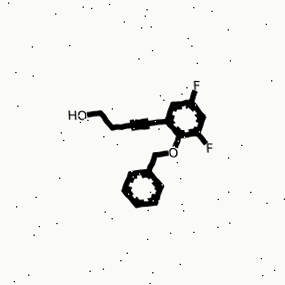 OCCC#Cc1cc(F)cc(F)c1OCc1ccccc1